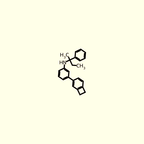 CCC(C)(Nc1cccc(-c2ccc3c(c2)CC3)c1)c1ccccc1